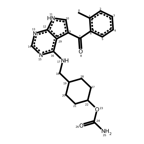 Cc1ccccc1C(=O)c1c[nH]c2ncnc(NCC3CCC(OC(N)=O)CC3)c12